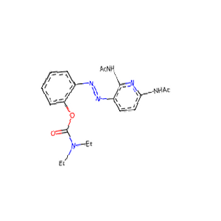 CCN(CC)C(=O)Oc1ccccc1/N=N/c1ccc(NC(C)=O)nc1NC(C)=O